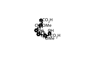 COc1nc(OCc2cccc(-c3cccc(COc4nc(OC)c(CN5C[C@@H](O)C[C@H]5C(=O)O)cc4Cl)c3C)c2C)c(Cl)cc1CN1CCC[C@H]1C(=O)O